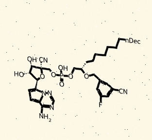 CCCCCCCCCCCCCCCCC[C@@H](COP(=O)(O)OC[C@@]1(C#N)O[C@@H](c2ccc3c(N)ncnn23)[C@H](O)[C@@H]1O)OCc1cc(F)cc(C#N)c1